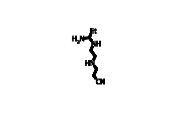 CCC(N)NCCNCCC#N